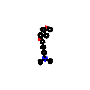 c1ccc(-c2nc(-c3ccccc3)nc(-c3ccc(-c4ccc(-c5ccc6c(c5)oc5cccc(-c7ccccc7-c7cccc8oc9ccccc9c78)c56)cc4)cc3)n2)cc1